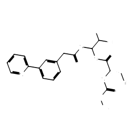 CC(C)C[C@H](NC(=O)OC(C)(C)C)C(=O)NC(NC(=O)Cc1cccc(-c2ccccn2)c1)C(C)O